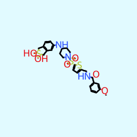 COc1cccc(C(=O)NCc2ccc(S(=O)(=O)N3CCC(Nc4ccc5c(c4)CS(O)(O)C5)CC3)s2)c1